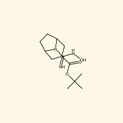 CC(C)(C)OC(=O)N1CC2CCC(C1)N2C(=N)NO